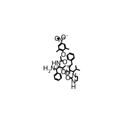 Cc1cc([N+](=O)[O-])cc(C)c1OCC(=O)N[C@@H](C(N)c1ccccc1)[C@@H](O)C[C@H](Cc1ccccc1)C(=O)C(C(C)C)N1CCNC1=O